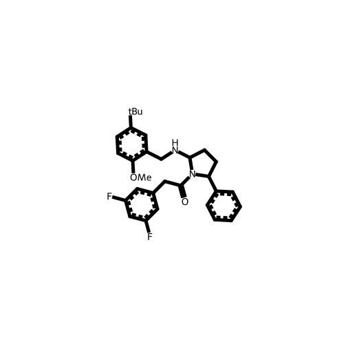 COc1ccc(C(C)(C)C)cc1CNC1CCC(c2ccccc2)N1C(=O)Cc1cc(F)cc(F)c1